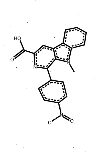 Cn1c2ccccc2c2cc(C(=O)O)nc(-c3ccc([N+](=O)[O-])cc3)c21